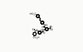 CCN(CC)c1ccc(NC(=O)c2cccc(SN(CC)C3CCC(C(=O)O)CC3)c2)c(C(=O)Nc2ccc(CCc3ccc(C(=O)O)cc3)cc2)c1